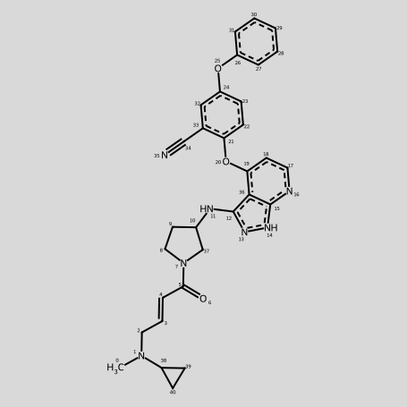 CN(C/C=C/C(=O)N1CCC(Nc2n[nH]c3nccc(Oc4ccc(Oc5ccccc5)cc4C#N)c23)C1)C1CC1